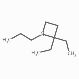 CCCN1CCC1(CC)CC